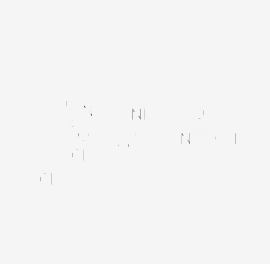 CC(=O)N1CCC[C@H](C(=O)N[C@H]2CCCN(S(=O)(=O)c3cccc(Cl)c3C)C2)C1